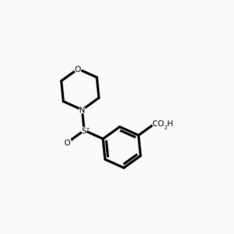 O=C(O)c1cccc([S+]([O-])N2CCOCC2)c1